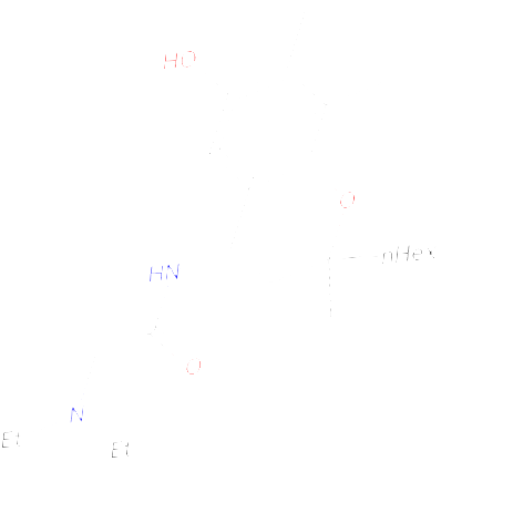 CCCCCCC1(C)CC(NC(=O)CN(CC)CC)c2c(C)c(O)c(C)c(C)c2O1